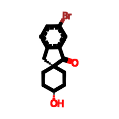 O=C1c2cc(Br)ccc2C[C@]12CC[C@@H](O)CC2